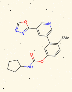 CSc1ccc(OC(=O)NC2CCCC2)cc1-c1cncc(-c2nnco2)c1